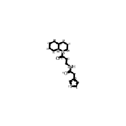 O=C(Cc1ccsc1)NCCC(=O)N1CCCC2CCCCC21